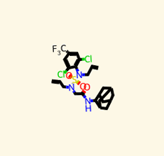 C=CCN(CC(=O)NC1C2CC3CC(C2)CC1C3)S(=O)(=O)N(CC=C)c1c(Cl)cc(C(F)(F)F)cc1Cl